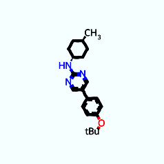 CC(C)(C)Oc1ccc(-c2cnc(N[C@H]3CC[C@H](C)CC3)nc2)cc1